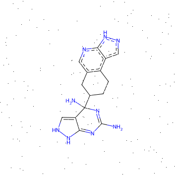 NC1=NC(N)(C2CCc3c(cnc4[nH]ncc34)C2)C2=CNNC2=N1